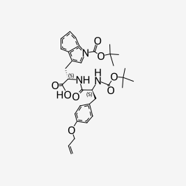 C=CCOc1ccc(C[C@H](NC(=O)OC(C)(C)C)C(=O)N[C@@H](Cc2cn(C(=O)OC(C)(C)C)c3ccccc23)C(=O)O)cc1